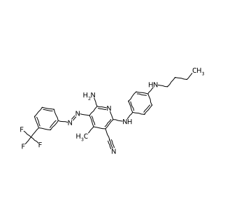 CCCCNc1ccc(Nc2nc(N)c(/N=N/c3cccc(C(F)(F)F)c3)c(C)c2C#N)cc1